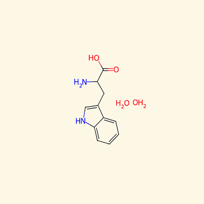 NC(Cc1c[nH]c2ccccc12)C(=O)O.O.O